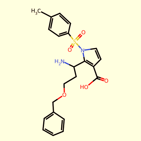 Cc1ccc(S(=O)(=O)n2ccc(C(=O)O)c2C(N)CCOCc2ccccc2)cc1